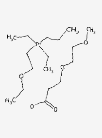 CCC[P+](CC)(CC)CCOCC.COCCOCCC(=O)[O-]